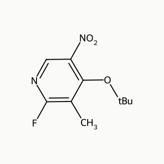 Cc1c(F)ncc([N+](=O)[O-])c1OC(C)(C)C